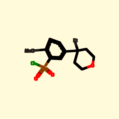 CCC1(c2ccc(OC)c(S(=O)(=O)Cl)c2)CCOCC1